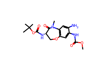 COC(=O)Nc1cc2c(cc1N)N(C)C(=O)[C@@H](NC(=O)OC(C)(C)C)CO2